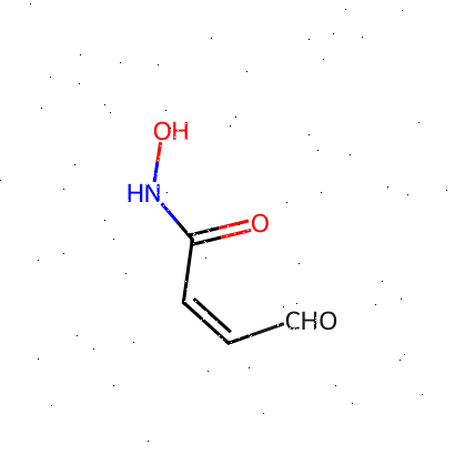 O=C/C=C\C(=O)NO